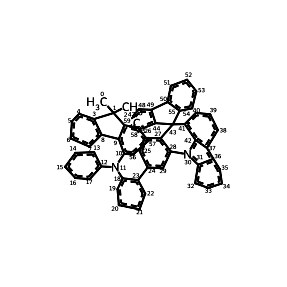 CC1(C)c2ccccc2-c2c(N(c3ccccc3)c3ccccc3-c3ccc4c(c3)-n3c5ccccc5c5cccc(c53)C43c4ccccc4-c4ccccc43)cccc21